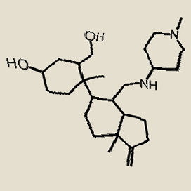 C=C1CCC2C(CNC3CCN(C)CC3)C(C3(C)CCC(O)CC3CO)CCC12C